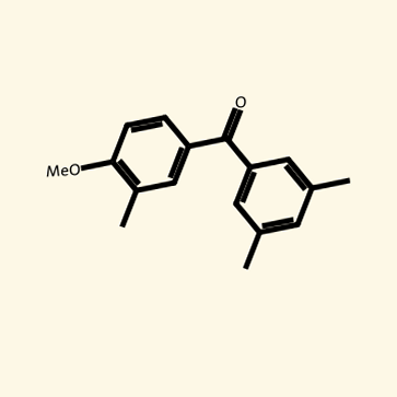 COc1ccc(C(=O)c2cc(C)cc(C)c2)cc1C